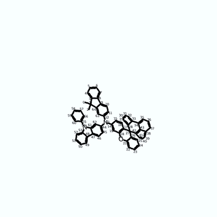 CC1(C)c2ccccc2-c2ccc(N(c3ccc4c(c3)Oc3ccccc3C43c4ccccc4-c4cccc5cccc3c45)c3ccc4c5ccccc5n(-c5ccccc5)c4c3)cc21